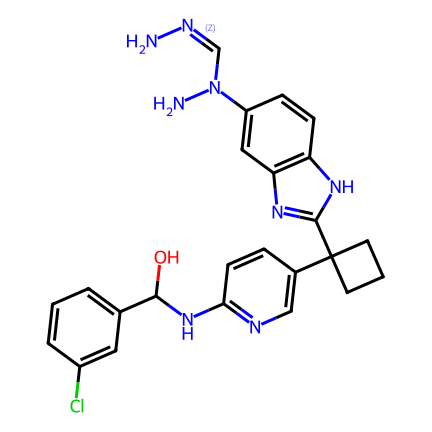 N/N=C\N(N)c1ccc2[nH]c(C3(c4ccc(NC(O)c5cccc(Cl)c5)nc4)CCC3)nc2c1